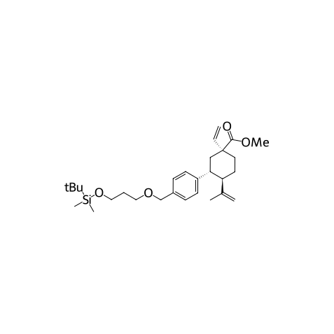 C=C[C@]1(C(=O)OC)CC[C@@H](C(=C)C)[C@H](c2ccc(COCCCO[Si](C)(C)C(C)(C)C)cc2)C1